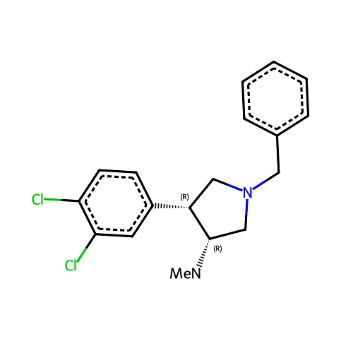 CN[C@H]1CN(Cc2ccccc2)C[C@H]1c1ccc(Cl)c(Cl)c1